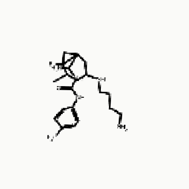 CCC12CC1(C(N)NC(=O)Nc1ccc(C(F)(F)F)cc1)CC(NCCCCN)CC2C